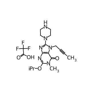 CC#CCn1c(N2CCNCC2)nc2nc(OC(C)C)n(C)c(=O)c21.O=C(O)C(F)(F)F